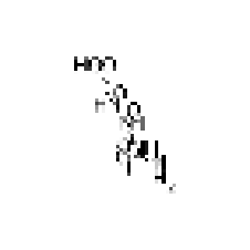 NCC[C@H](NC(=O)CCN(CCNC(=O)CCCC(=O)O)C(=O)I)C(=O)I